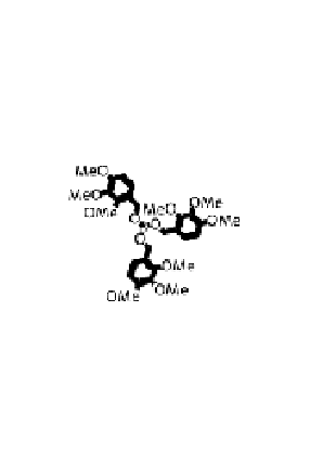 COc1ccc(COB(OCc2ccc(OC)c(OC)c2OC)OCc2ccc(OC)c(OC)c2OC)c(OC)c1OC